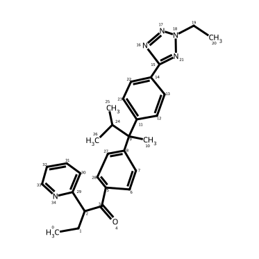 CCC(C(=O)c1ccc(C(C)(c2ccc(-c3nnn(CC)n3)cc2)C(C)C)cc1)c1ccccn1